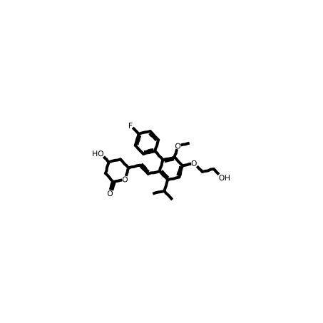 COc1c(OCCO)cc(C(C)C)c(C=CC2CC(O)CC(=O)O2)c1-c1ccc(F)cc1